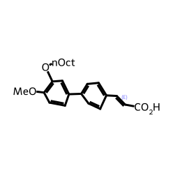 CCCCCCCCOc1cc(-c2ccc(/C=C/C(=O)O)cc2)ccc1OC